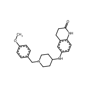 COc1ccc(CN2CCC(Nc3ccc4c(c3)CCC(=O)N4)CC2)cc1